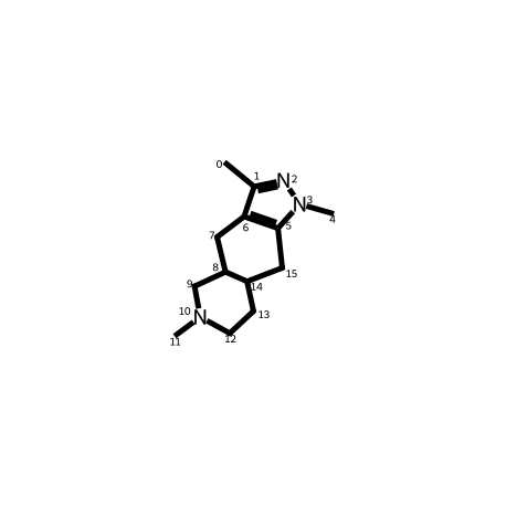 Cc1nn(C)c2c1CC1CN(C)CCC1C2